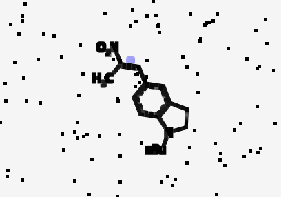 CCCCN1CCc2cc(/C=C(\C)[N+](=O)[O-])ccc21